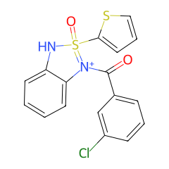 O=C(c1cccc(Cl)c1)[N+]1=S(=O)(c2cccs2)Nc2ccccc21